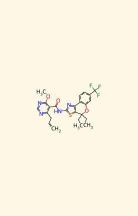 C=CCc1ncnc(OC)c1C(=O)Nc1nc2c(s1)C(CC)(CC)Oc1cc(C(F)(F)F)ccc1-2